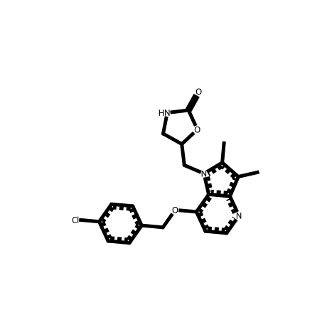 Cc1c(C)n(CC2CNC(=O)O2)c2c(OCc3ccc(Cl)cc3)ccnc12